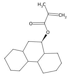 C=C(C)C(=O)O[C@@H]1CC2CCCCC2C2CCCCC21